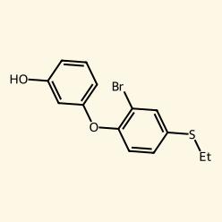 CCSc1ccc(Oc2cccc(O)c2)c(Br)c1